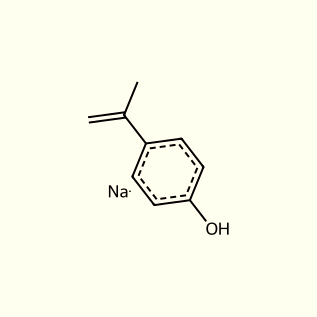 C=C(C)c1ccc(O)cc1.[Na]